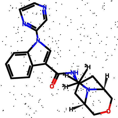 [2H]C([2H])([2H])N1[C@@H]2COC[C@H]1C[C@@H](NC(=O)c1cn(-c3cnccn3)c3ccccc13)C2